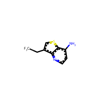 Nc1ccnc2c(CC(F)(F)F)csc12